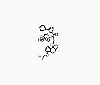 COc1cccc2c1CC[C@H]1CNC(CCn3c(=O)c4scc(-c5ccccc5)c4n(CS(=O)(=O)O)c3=O)[C@@H]21